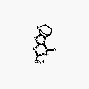 O=C(O)c1nc2sc3c(c2c(=O)[nH]1)C1CCN3CC1